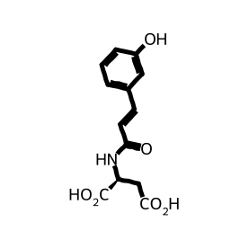 O=C(O)C[C@H](NC(=O)C=Cc1cccc(O)c1)C(=O)O